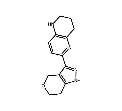 c1cc2c(nc1-c1n[nH]c3c1COCC3)CCCN2